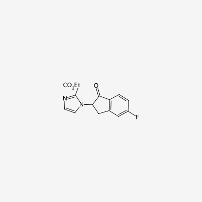 CCOC(=O)c1nccn1C1Cc2cc(F)ccc2C1=O